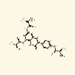 C=C(C)C(=O)Oc1ccc(-c2cc3cc(OC(=O)C(=C)C)cc(OC(=O)C(=C)C)c3oc2=O)cc1